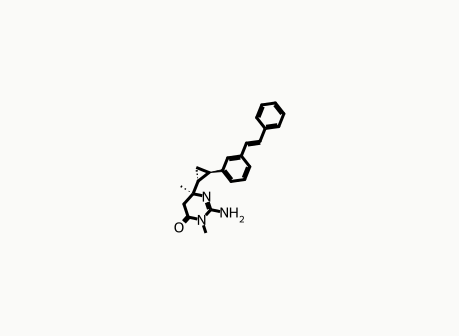 CN1C(=O)C[C@@](C)([C@@H]2C[C@H]2c2cccc(/C=C/c3ccccc3)c2)N=C1N